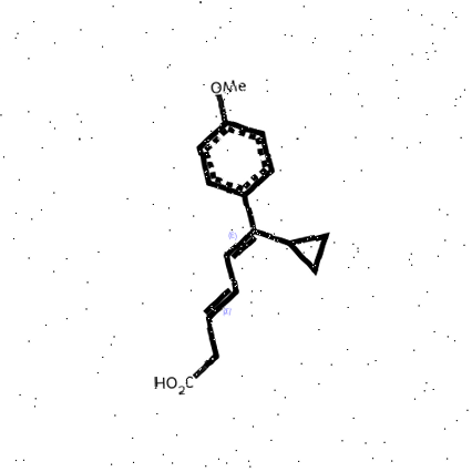 COc1ccc(/C(=C/C=C/CC(=O)O)C2CC2)cc1